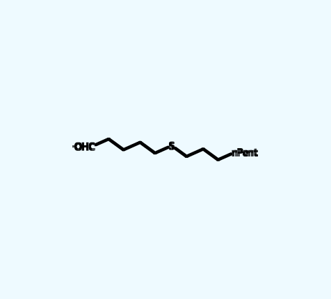 CCCCCCCCSCCCC[C]=O